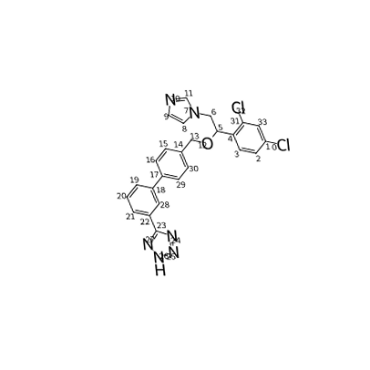 Clc1ccc(C(Cn2ccnc2)OCc2ccc(-c3cccc(-c4nn[nH]n4)c3)cc2)c(Cl)c1